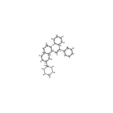 c1ccc(C(=Nc2cncc3ccc(N4CCOCC4)cc23)c2ccccc2)cc1